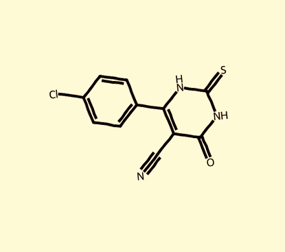 N#Cc1c(-c2ccc(Cl)cc2)[nH]c(=S)[nH]c1=O